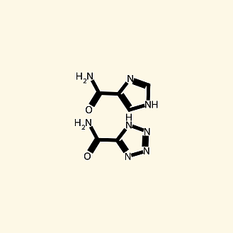 NC(=O)c1c[nH]cn1.NC(=O)c1nnn[nH]1